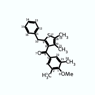 COc1c(C)cc(C(=O)c2c(Cc3ccccc3)sc(C)c2C)cc1C